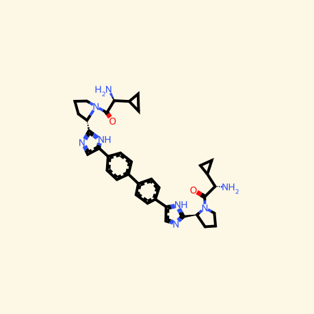 N[C@H](C(=O)N1CCC[C@H]1c1ncc(-c2ccc(-c3ccc(-c4cnc([C@@H]5CCCN5C(=O)[C@@H](N)C5CC5)[nH]4)cc3)cc2)[nH]1)C1CC1